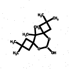 CC1(C)CC2(C1)OP(O)OC1(CC(C)(C)C1)C2(C)C